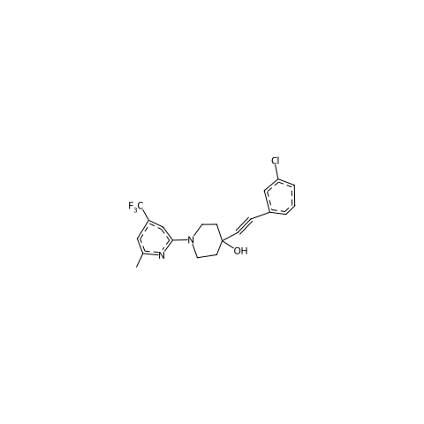 Cc1cc(C(F)(F)F)cc(N2CCC(O)(C#Cc3cccc(Cl)c3)CC2)n1